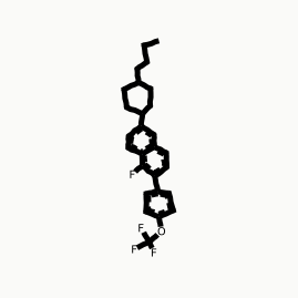 CCCCC1CCC(c2ccc3c(F)c(-c4ccc(OC(F)(F)F)cc4)ccc3c2)CC1